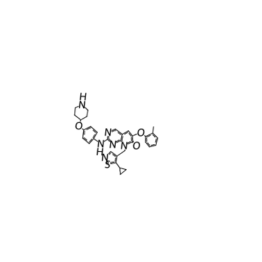 Cc1ccccc1Oc1cc2cnc(Nc3ccc(OC4CCNCC4)cc3)nc2n(Cc2cnsc2C2CC2)c1=O